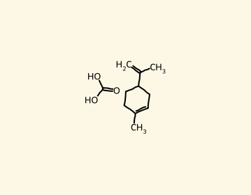 C=C(C)C1CC=C(C)CC1.O=C(O)O